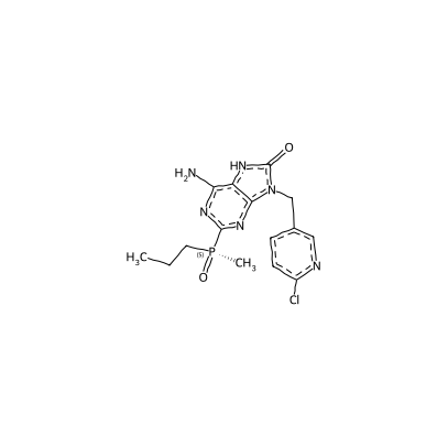 CCC[P@](C)(=O)c1nc(N)c2[nH]c(=O)n(Cc3ccc(Cl)nc3)c2n1